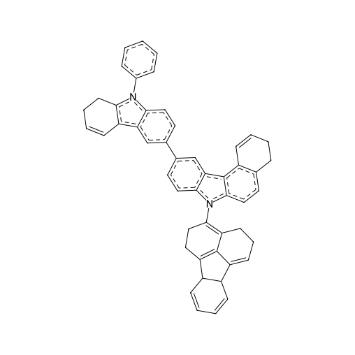 C1=CC2C3=CCCC4=C(n5c6ccc(-c7ccc8c(c7)c7c(n8-c8ccccc8)CCC=C7)cc6c6c7c(ccc65)CCC=C7)CCC(=C34)C2C=C1